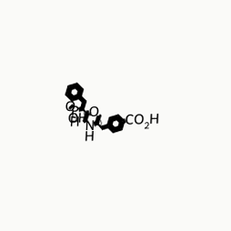 O=C(O)c1ccc(C[C@@H]2CO[C@H](C(Cc3ccccc3)[PH](=O)O)CN2)cc1